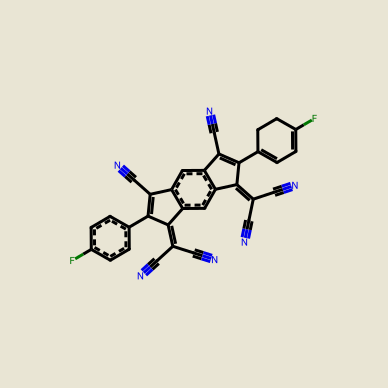 N#CC(C#N)=C1C(C2=CC=C(F)CC2)=C(C#N)c2cc3c(cc21)C(=C(C#N)C#N)C(c1ccc(F)cc1)=C3C#N